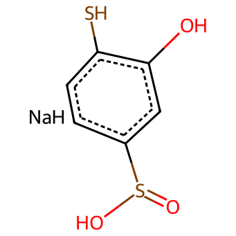 O=S(O)c1ccc(S)c(O)c1.[NaH]